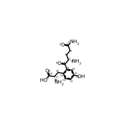 NC(=O)CC[C@H](N)C(=O)c1cc(O)ccc1C[C@H](N)C(=O)O